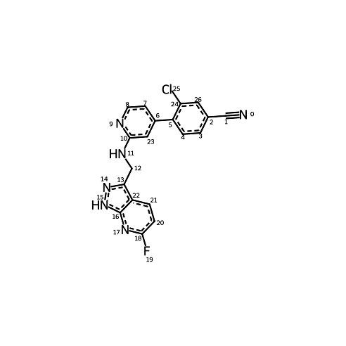 N#Cc1ccc(-c2ccnc(NCc3n[nH]c4nc(F)ccc34)c2)c(Cl)c1